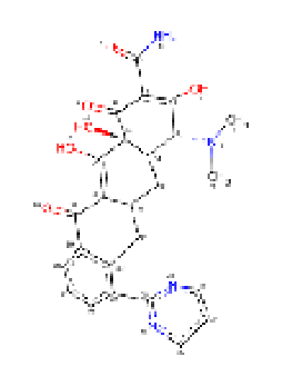 CN(C)[C@H]1C(O)=C(C(N)=O)C(=O)[C@@]2(O)C(O)=C3C(=O)c4cccc(-c5ncccn5)c4CC3CC12